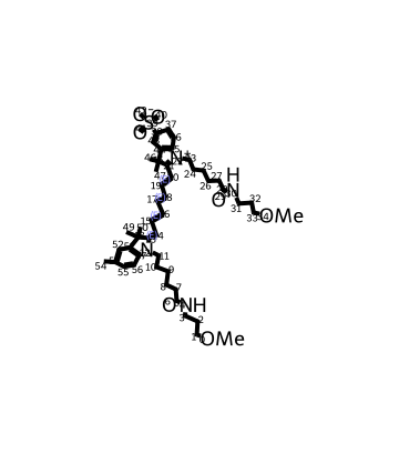 COCCCNC(=O)CCCCCN1/C(=C/C=C/C=C/C=C/C2=[N+](CCCCCC(=O)NCCCOC)c3ccc(S(=O)(=O)[O-])cc3C2(C)C)C(C)(C)c2cc(C)ccc21